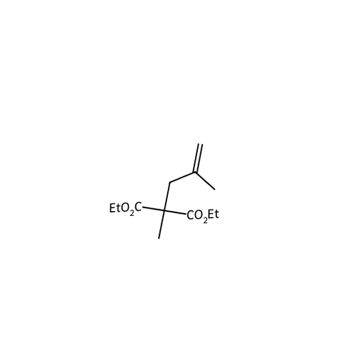 C=C(C)CC(C)(C(=O)OCC)C(=O)OCC